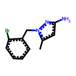 Cc1cc(N)nn1Cc1ccccc1Br